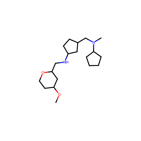 COC1CCOC(CNC2CCC(CN(C)C3CCCC3)C2)C1